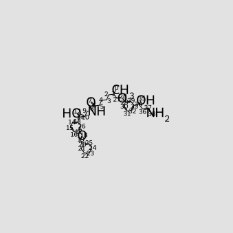 CC(CCCCC(=O)NCCC(O)c1cccc(OCC2CCCCC2)c1)COc1cccc(C(O)CCN)c1